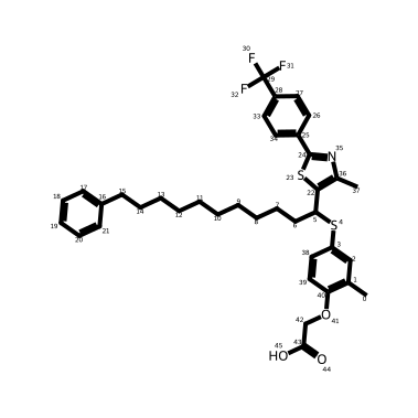 Cc1cc(SC(CCCCCCCCCCc2ccccc2)c2sc(-c3ccc(C(F)(F)F)cc3)nc2C)ccc1OCC(=O)O